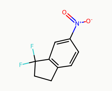 O=[N+]([O-])c1ccc2c(c1)C(F)(F)CC2